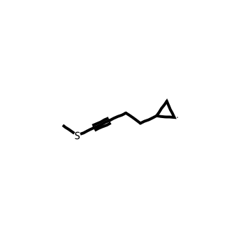 CSC#CCCC1[CH]C1